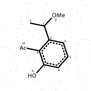 COC(C)c1cccc(O)c1C(C)=O